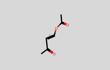 CC(=O)/C=C/OC(C)=O